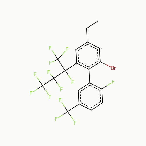 CCc1[c]c(Br)c(-c2cc(C(F)(F)F)ccc2F)c(C(F)(C(F)(F)F)C(F)(F)C(F)(F)F)c1